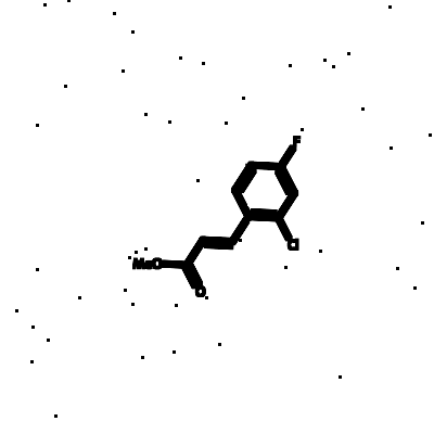 COC(=O)C=Cc1c[c]c(F)cc1Cl